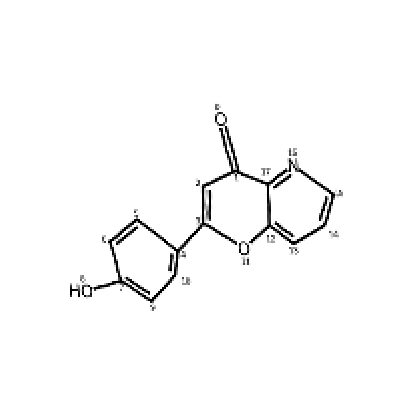 O=c1cc(-c2ccc(O)cc2)oc2cccnc12